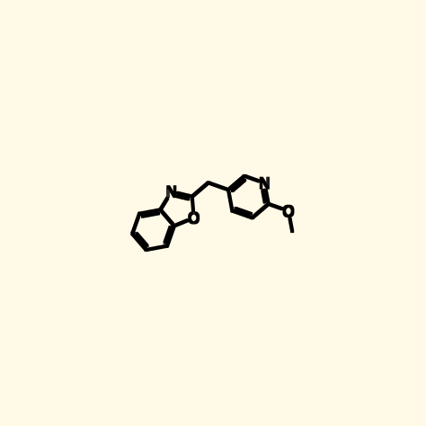 COc1ccc(Cc2nc3ccccc3o2)cn1